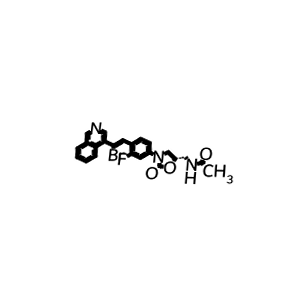 CC(=O)NC[C@H]1CN(c2ccc(C=C(Br)c3cncc4ccccc34)c(F)c2)C(=O)O1